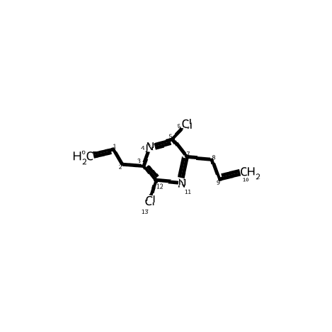 C=CCc1nc(Cl)c(CC=C)nc1Cl